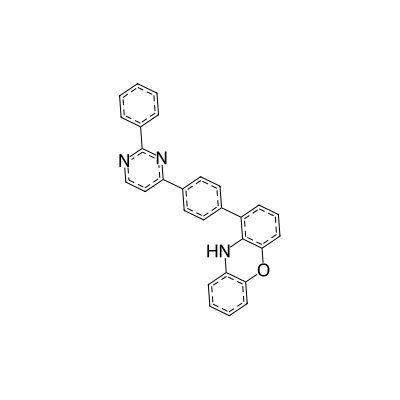 c1ccc(-c2nccc(-c3ccc(-c4cccc5c4Nc4ccccc4O5)cc3)n2)cc1